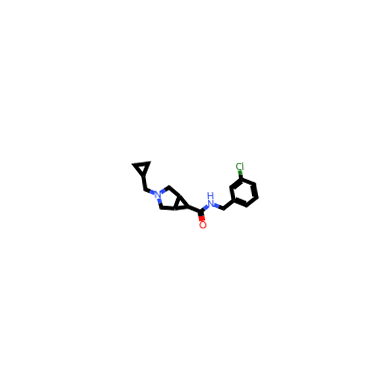 O=C(NCc1cccc(Cl)c1)C1C2CN(CC3CC3)CC21